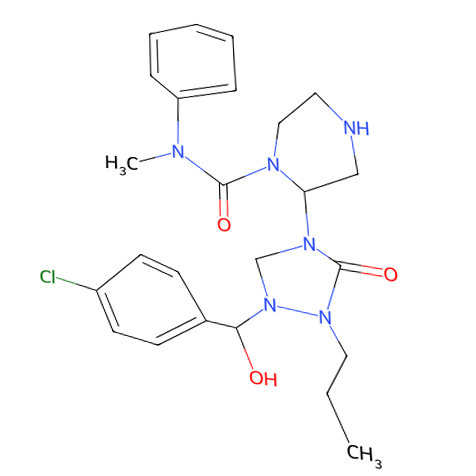 CCCN1C(=O)N(C2CNCCN2C(=O)N(C)c2ccccc2)CN1C(O)c1ccc(Cl)cc1